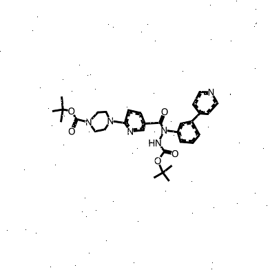 CC(C)(C)OC(=O)NN(C(=O)c1ccc(N2CCN(C(=O)OC(C)(C)C)CC2)nc1)c1cccc(-c2ccncc2)c1